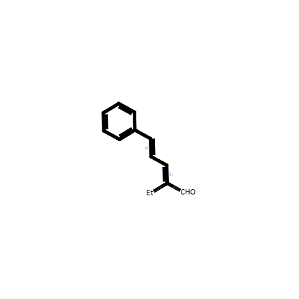 CC/C(C=O)=C\C=C\c1ccccc1